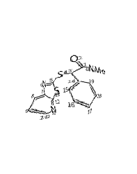 CNC(=O)C(Sc1nc2cccnc2s1)c1ccccc1